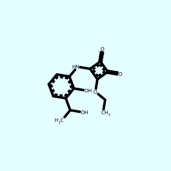 CCOc1c(Nc2cccc(C(C)O)c2O)c(=O)c1=O